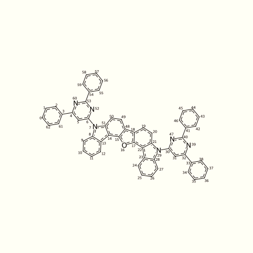 c1ccc(-c2cc(-n3c4ccccc4c4c5oc6c(ccc7c6c6ccccc6n7-c6cc(-c7ccccc7)nc(-c7ccccc7)n6)c5ccc43)nc(-c3ccccc3)n2)cc1